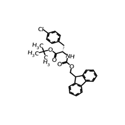 CC(C)(C)OC(=O)[C@H](Cc1ccc(Cl)cc1)NC(=O)OCC1c2ccccc2-c2ccccc21